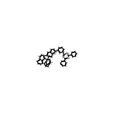 c1ccc(-c2nc(-c3ccccc3)nc(-c3cccc(-c4ccc5cc6c(cc5c4)C4(c5c-6ccc6ccccc56)C5CC6CC(C5)CC4C6)c3)n2)cc1